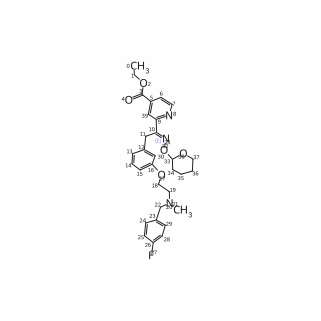 CCOC(=O)c1ccnc(/C(Cc2cccc(OCCN(C)Cc3ccc(F)cc3)c2)=N/OC2CCCCO2)c1